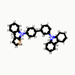 C1=Cc2c(n(-c3cccc(-c4ccc(-n5c6ccccc6c6ccsc65)cc4)c3)c3ccccc23)CC1